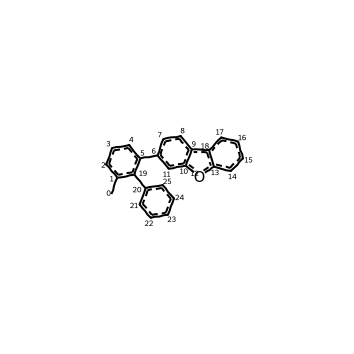 Cc1cccc(-c2ccc3c(c2)oc2ccccc23)c1-c1ccccc1